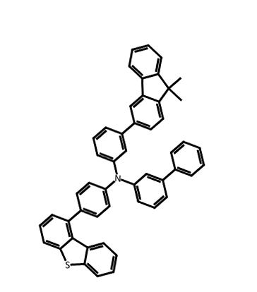 CC1(C)c2ccccc2-c2cc(-c3cccc(N(c4ccc(-c5cccc6sc7ccccc7c56)cc4)c4cccc(-c5ccccc5)c4)c3)ccc21